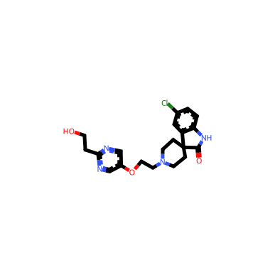 O=C1Nc2ccc(Cl)cc2C12CCN(CCOc1cnc(CCO)nc1)CC2